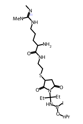 CCCOB(I)NC(CC)(CC)N1C(=O)CC(SCCNC(=O)C(N)CCCN/C(=N/C)NC)C1=O